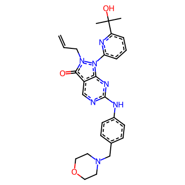 C=CCn1c(=O)c2cnc(Nc3ccc(CN4CCOCC4)cc3)nc2n1-c1cccc(C(C)(C)O)n1